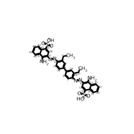 CCc1cc(-c2ccc(/N=N/c3cc(S(=O)(=O)O)c4ccccc4c3N)c(CC)c2)ccc1/N=N/c1cc(S(=O)(=O)O)c2ccccc2c1N